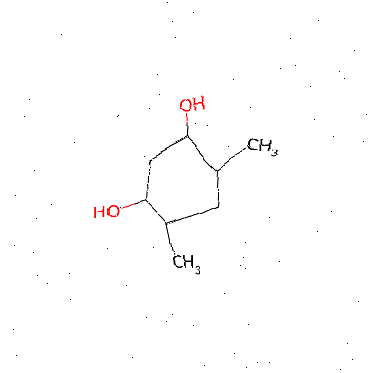 CC1CC(C)C(O)CC1O